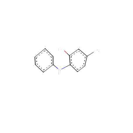 N#Cc1ccc(Nc2[c]cccc2)c(O)c1